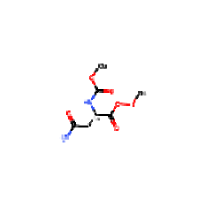 CC(C)(C)OOC(=O)[C@H](CC(N)=O)NC(=O)OC(C)(C)C